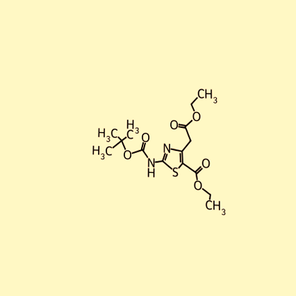 CCOC(=O)Cc1nc(NC(=O)OC(C)(C)C)sc1C(=O)OCC